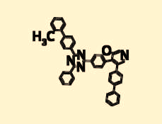 Cc1ccccc1-c1ccc(-c2nc(-c3ccccc3)nc(-c3ccc4c(c3)oc3cncc(-c5ccc(-c6ccccc6)cc5)c34)n2)cc1